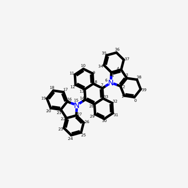 C1=Cc2c(c3c(n2-c2c4ccccc4c(-n4c5ccccc5c5ccccc54)c4ccccc24)C=CCC3)CC1